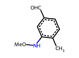 CONc1cc(C=O)ccc1C